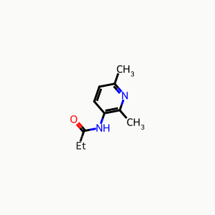 CCC(=O)Nc1ccc(C)nc1C